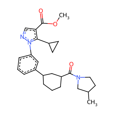 COC(=O)c1cnn(-c2cccc(C3CCCC(C(=O)N4CCC(C)C4)C3)c2)c1C1CC1